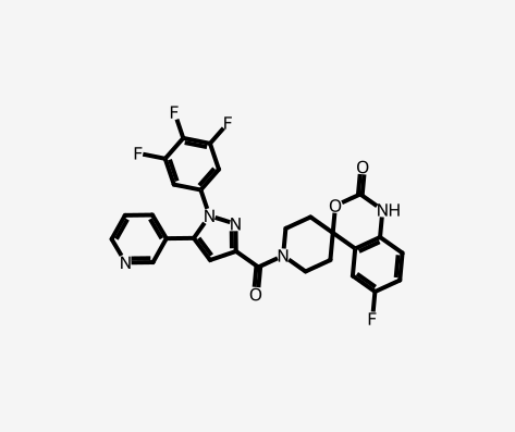 O=C1Nc2ccc(F)cc2C2(CCN(C(=O)c3cc(-c4cccnc4)n(-c4cc(F)c(F)c(F)c4)n3)CC2)O1